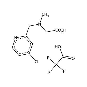 CN(CC(=O)O)Cc1cc(Cl)ccn1.O=C(O)C(F)(F)F